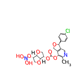 Cc1ncc2c(c1OC(=O)O[C@H]1CO[C@H]3[C@@H]1OC[C@@H]3ON(O)O)CO[C@H]2c1ccc(Cl)cc1